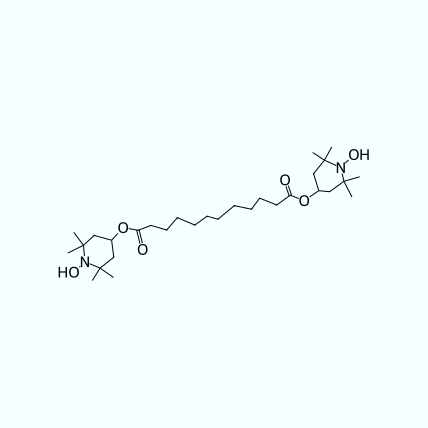 CC1(C)CC(OC(=O)CCCCCCCCCCC(=O)OC2CC(C)(C)N(O)C(C)(C)C2)CC(C)(C)N1O